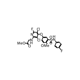 COC(=O)CNc1nc(F)c(Cl)c(Oc2ccc(OC)c(S(=O)(=O)Nc3ccc(F)cc3)c2)c1Cl